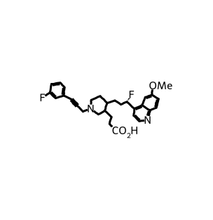 COc1ccc2nccc([C@@H](F)CCC3CCN(CC#Cc4cccc(F)c4)CC3CCC(=O)O)c2c1